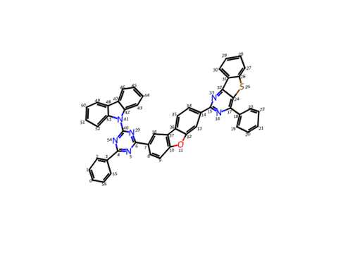 c1ccc(-c2nc(-c3ccc4oc5cc(-c6nc(-c7ccccc7)c7sc8ccccc8c7n6)ccc5c4c3)nc(-n3c4ccccc4c4ccccc43)n2)cc1